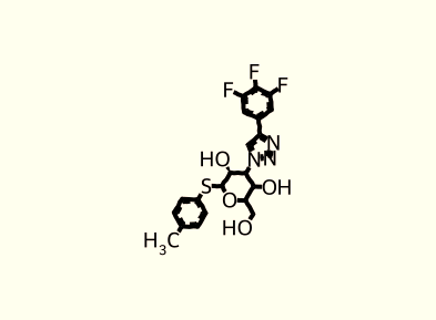 Cc1ccc(SC2OC(CO)C(O)C(n3cc(-c4cc(F)c(F)c(F)c4)nn3)[C@@H]2O)cc1